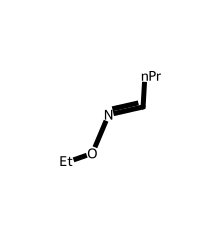 CCCC=NOCC